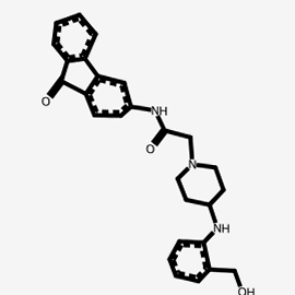 O=C(CN1CCC(Nc2ccccc2CO)CC1)Nc1ccc2c(c1)-c1ccccc1C2=O